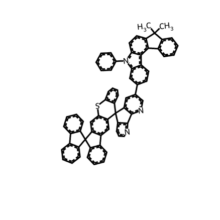 CC1(C)c2ccccc2-c2c1ccc1c2c2ccc(-c3cnc4c(c3)C3(c5ccccc5Sc5cc6c(cc53)-c3ccccc3C63c5ccccc5-c5ccccc53)c3cccnc3-4)cc2n1-c1ccccc1